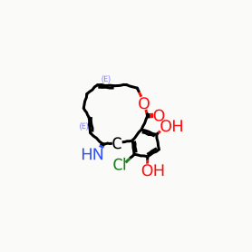 N=C1/C=C/CC/C=C/CCOC(=O)c2c(O)cc(O)c(Cl)c2C1